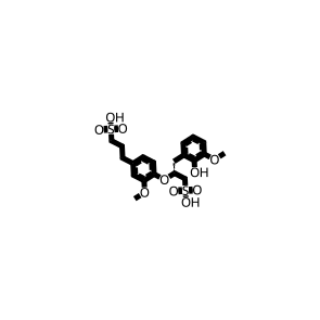 COc1cc(CCCS(=O)(=O)O)ccc1O[C@H](Cc1cccc(OC)c1O)CS(=O)(=O)O